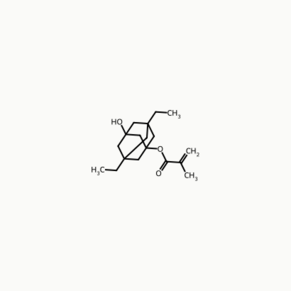 C=C(C)C(=O)OC12CC3(O)CC(CC)(CC(CC)(C3)C1)C2